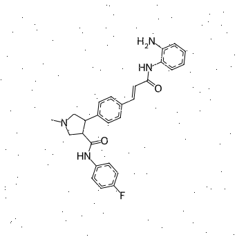 CN1CC(C(=O)Nc2ccc(F)cc2)C(c2ccc(/C=C/C(=O)Nc3ccccc3N)cc2)C1